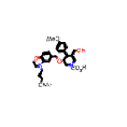 COCCCN1CCOc2ccc(CO[C@H]3CN(C(=O)O)CC(CO)C3c3ccc(OC)cc3)cc21